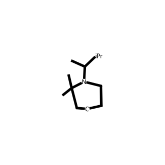 CC(C)C(C)N1CCCCC1(C)C